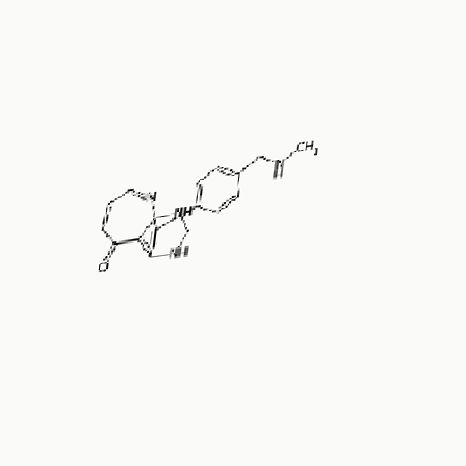 CNCc1ccc(C2=CC3=C4C(=O)C=CC=NC24NCN3)cc1